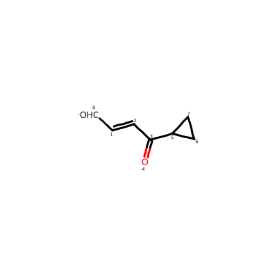 O=[C]C=CC(=O)C1CC1